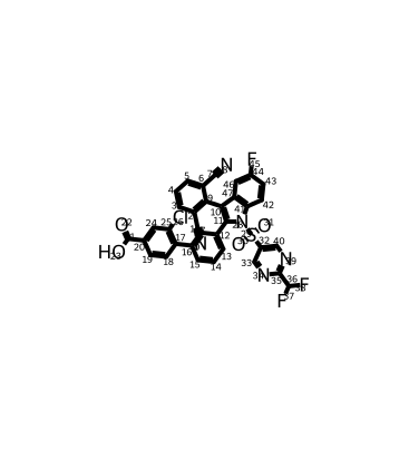 N#Cc1cccc(C#N)c1-c1c(-c2cccc(-c3ccc(C(=O)O)cc3Cl)c2)n(S(=O)(=O)c2cnc(C(F)F)nc2)c2ccc(F)cc12